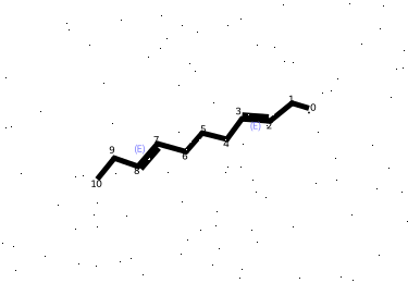 [CH2]C/C=C/CCC/C=C/CC